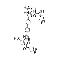 C[C@H]1CCN(C(=O)C(=O)N2CCC(F)(F)CC2)C1c1nc(-c2ccc(-c3ccc(-c4c[nH]c(C5[C@@H](C)CCN5C(=O)C(O)N5CCC(F)(F)CC5)n4)cc3)cc2)c[nH]1